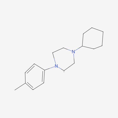 Cc1ccc(N2[CH]CN(C3CCCCC3)CC2)cc1